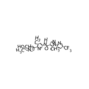 Cc1cc(NC(=O)c2cnn(-c3ccc(C(F)(F)F)cn3)c2C)cnc1C1=CCN(CC(C)(C)O)CC1